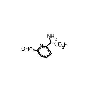 N[C@H](C(=O)O)c1cccc(C=O)n1